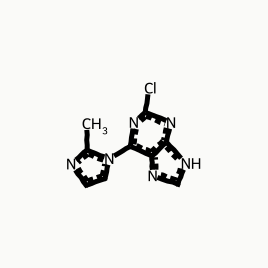 Cc1nccn1-c1nc(Cl)nc2[nH]cnc12